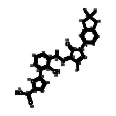 CC1=NN(c2ccc3c(c2)CC(C)(C)C3)C(=O)/C1=N\Nc1cccc(-c2ccc(C(=O)O)o2)c1O